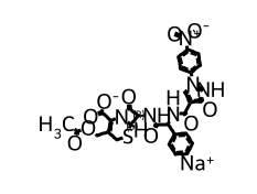 CC(=O)OCC1=C(C(=O)[O-])N2C(=O)[C@@H](NC(=O)C(NC(=O)c3cn(-c4ccc([N+](=O)[O-])cc4)[nH]c3=O)c3ccccc3)[C@@H]2SC1.[Na+]